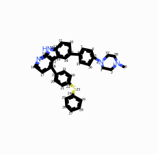 CN1CCN(c2ccc(-c3ccc4[nH]c5nccc(-c6ccc(Sc7ccccc7)cc6)c5c4c3)cc2)CC1